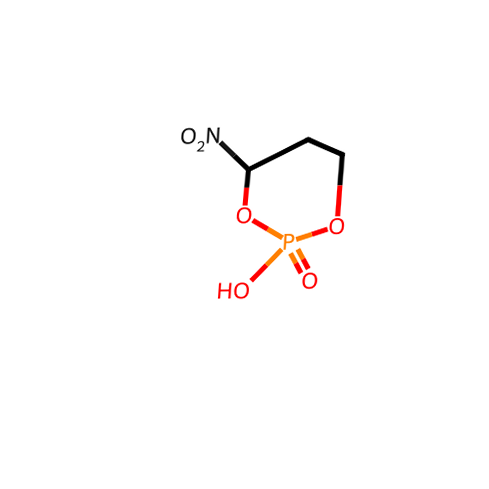 O=[N+]([O-])C1CCOP(=O)(O)O1